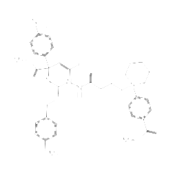 COC(=O)c1ccc([N+]2(CCCC(=O)NN3C(C)=CC(C(=O)OC)(c4ccc([N+](=O)[O-])cc4)NC3SCc3ccc(OC)cc3)CCCCC2)cc1